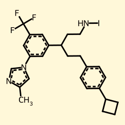 Cc1cn(-c2cc(C(CCNI)CCc3ccc(C4CCC4)cc3)cc(C(F)(F)F)c2)cn1